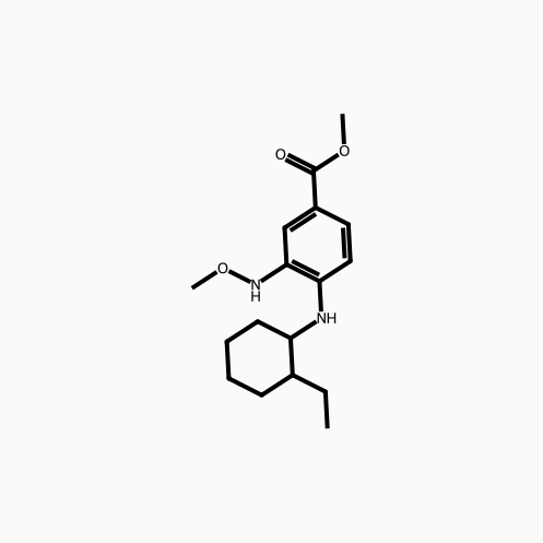 CCC1CCCCC1Nc1ccc(C(=O)OC)cc1NOC